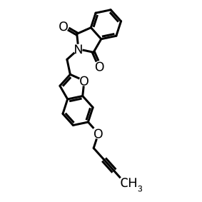 CC#CCOc1ccc2cc(CN3C(=O)c4ccccc4C3=O)oc2c1